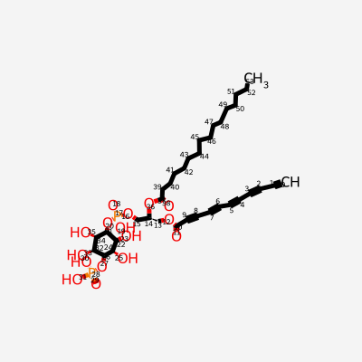 C#CC#CC#CC#CC#CC(=O)OC[C@H](COP(=O)(O)OC1C(O)[C@@H](O)C(OP(=O)(O)O)[C@@H](O)[C@H]1O)OC(=O)CCCCCCCCCCCCCCC